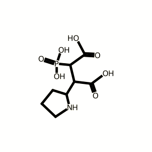 O=C(O)C(C1CCCN1)C(C(=O)O)P(=O)(O)O